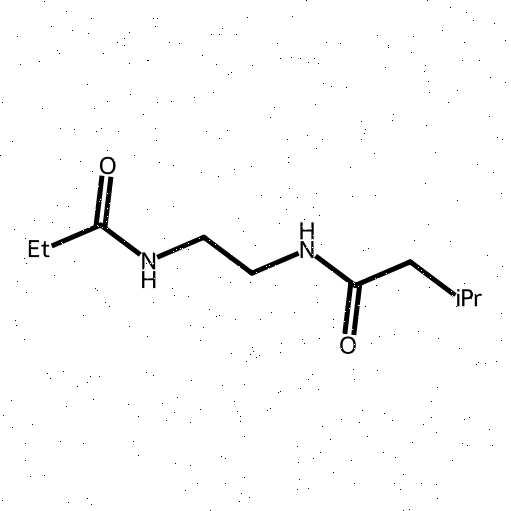 CCC(=O)NCCNC(=O)CC(C)C